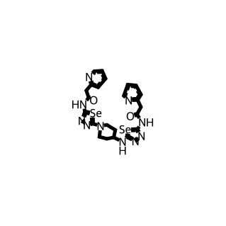 O=C(Cc1ccccn1)Nc1nnc(NC2CCN(c3nnc(NC(=O)Cc4ccccn4)[se]3)CC2)[se]1